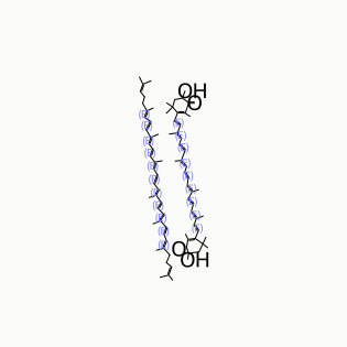 CC(C)=CCC/C(C)=C/C=C/C(C)=C/C=C/C(C)=C/C=C/C=C(C)/C=C/C=C(C)/C=C/C=C(\C)CCC=C(C)C.CC1=C(/C=C/C(C)=C/C=C/C(C)=C/C=C/C=C(C)/C=C/C=C(C)/C=C/C2=C(C)C(=O)C(O)CC2(C)C)C(C)(C)CC(O)C1=O